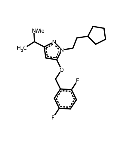 CNC(C)c1cc(OCc2cc(F)ccc2F)n(CCC2CCCC2)n1